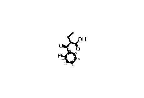 CCC(C(=O)O)C(=O)c1ccccc1F